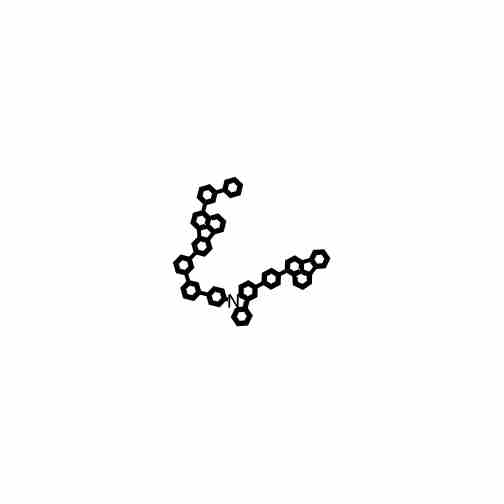 c1ccc(-c2cccc(-c3ccc4c5c(cccc35)-c3ccc(-c5cccc(-c6cccc(-c7ccc(-n8c9ccccc9c9cc(-c%10ccc(-c%11ccc%12c%13c(cccc%11%13)-c%11ccccc%11-%12)cc%10)ccc98)cc7)c6)c5)cc3-4)c2)cc1